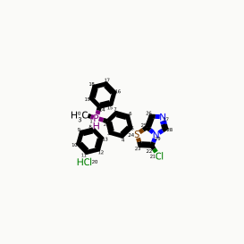 C[PH](c1ccccc1)(c1ccccc1)c1ccccc1.Cl.Clc1csc2cncn12